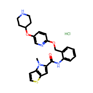 Cl.Cn1c(C(=O)Nc2ccccc2COc2ccc(OC3CCNCC3)cn2)cc2sccc21